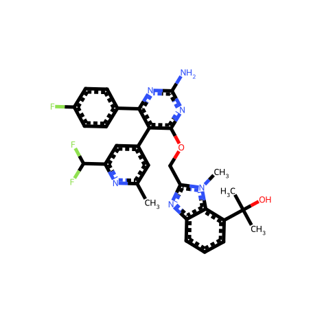 Cc1cc(-c2c(OCc3nc4cccc(C(C)(C)O)c4n3C)nc(N)nc2-c2ccc(F)cc2)cc(C(F)F)n1